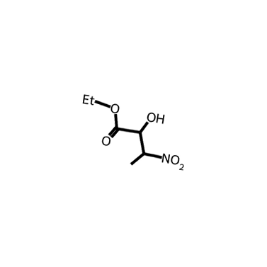 CCOC(=O)C(O)C(C)[N+](=O)[O-]